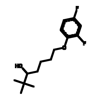 CC(C)(C)C(O)CCCCOc1ccc(F)cc1F